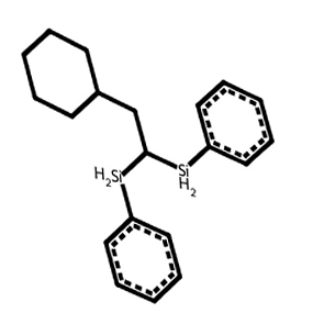 c1ccc([SiH2]C(CC2CCCCC2)[SiH2]c2ccccc2)cc1